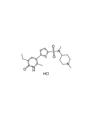 CCc1cc(-c2ccc(S(=O)(=O)N(C)C3CCN(C)CC3)s2)c(C)[nH]c1=O.Cl